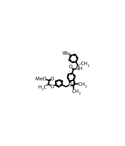 COC(=O)[C@H](C)Oc1cccc(Cn2c(C)c(C)c3cc(C(=O)N[C@@H](C)c4ccc(C(C)(C)C)cc4)ccc32)c1